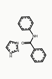 O=C(Nc1ccccc1)c1ccccc1.c1c[nH]nn1